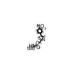 CC(C)(C)NC(=O)OCc1ncc(-c2ccc([N+](=O)[O-])cc2)s1